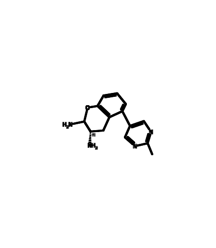 Cc1ncc(-c2cccc3c2C[C@H](N)C(N)O3)cn1